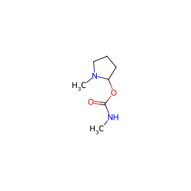 CNC(=O)OC1CCCN1C